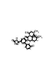 CCC1CN(C)C(=O)CN1c1nc2cc(-c3noc(=O)[nH]3)nc(-c3cncc(Cl)c3)c2n1CC1CCC(C)CC1